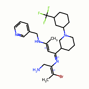 C/C(Br)=C(CN)/N=C(\C=C(/C)NCc1cccnc1)C1CCCN(C2CCCC(C(F)(F)F)C2)C1